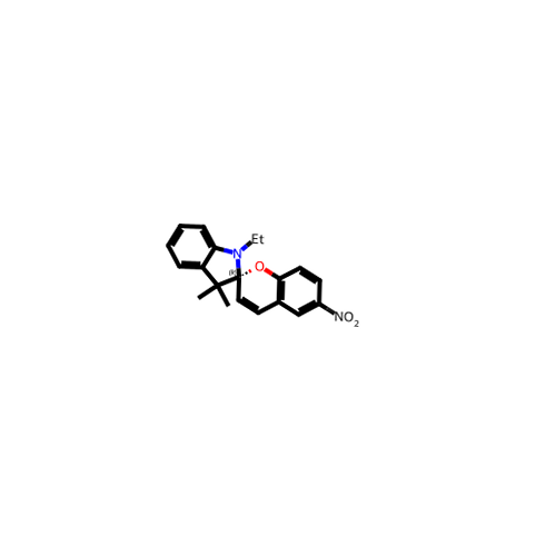 [CH2]CN1c2ccccc2C(C)(C)[C@]12C=Cc1cc([N+](=O)[O-])ccc1O2